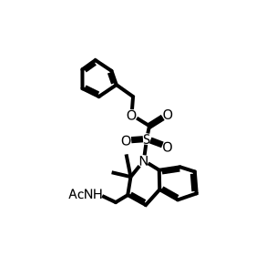 CC(=O)NCC1=Cc2ccccc2N(S(=O)(=O)C(=O)OCc2ccccc2)C1(C)C